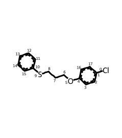 Clc1ccc(OC[CH]CSc2ccccc2)cc1